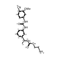 COc1cc(NC(=O)Nc2cccc([C@H](C)NC(=O)OCCN)c2)ccc1C#N